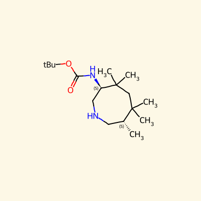 C[C@@H]1CNC[C@@H](NC(=O)OC(C)(C)C)C(C)(C)CC1(C)C